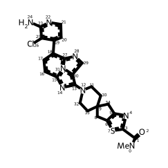 CNC(=O)c1nc2c(s1)CC1(CCN(c3nc4ccc(-c5ccnc(N)c5Cl)c5ncc3n45)CC1)C2